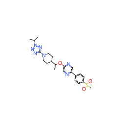 CC(C)n1nnc(N2CCC([C@H](C)Oc3cnc(-c4ccc(S(C)(=O)=O)cc4)cn3)CC2)n1